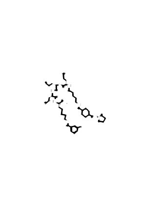 O=C(O)CC[C@@H](NC(=O)CCCCNC(=O)C1CCC(C(=O)ON2C(=O)CCC2=O)CC1)C(=O)N[C@H](CCC(=O)O)C(=O)N[C@H](CCC(=O)O)C(=O)N[C@H](CCCCCNC(=O)c1cccc(I)c1)C(=O)O